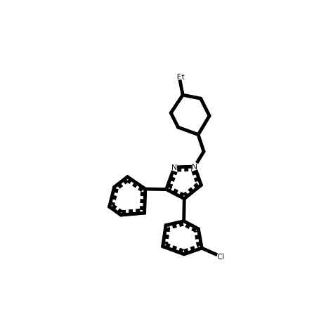 CCC1CCC(Cn2cc(-c3cccc(Cl)c3)c(-c3ccccc3)n2)CC1